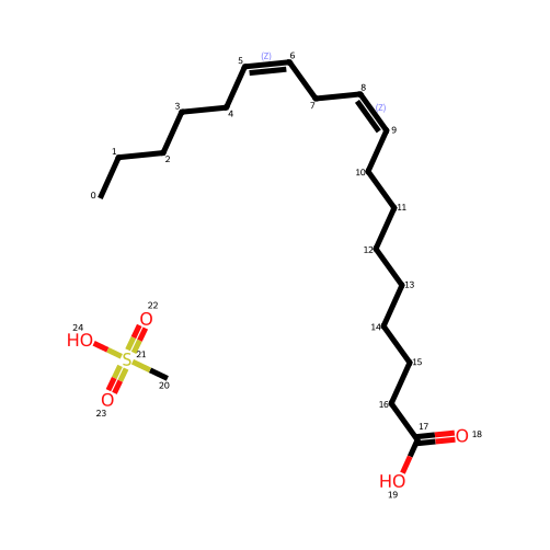 CCCCC/C=C\C/C=C\CCCCCCCC(=O)O.CS(=O)(=O)O